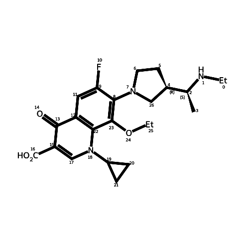 CCN[C@@H](C)[C@@H]1CCN(c2c(F)cc3c(=O)c(C(=O)O)cn(C4CC4)c3c2OCC)C1